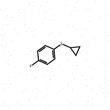 Fc1ccc(SC2CC2)cc1